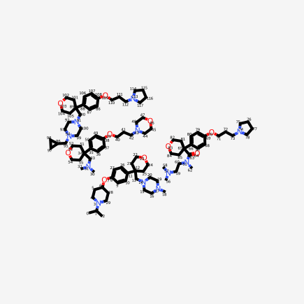 CC(C)N1CCC(Oc2ccc(C3(CN4CCN(C)CC4)CCOCC3)cc2)CC1.CN(C)CC1(c2ccc(OCCCN3CCOCC3)cc2)CCOCC1.CN(C)CCN(C)C(=O)C1(c2ccc(OCCCN3CCCC3)cc2)CCOCC1.c1cc(C2(CN3CCN(CC4CC4)CC3)CCOCC2)ccc1OCCCN1CCCC1